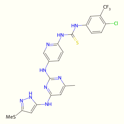 CSc1cc(Nc2cc(C)nc(Nc3ccc(NC(=S)Nc4ccc(Cl)c(C(F)(F)F)c4)nc3)n2)[nH]n1